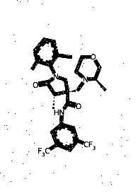 Cc1cccc(C)c1N1C[C@@](CN2CCOC[C@H]2C)(C(=O)Nc2cc(C(F)(F)F)cc(C(F)(F)F)c2)[C@H](C)C1=O